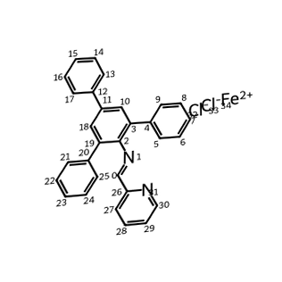 C(=Nc1c(-c2ccccc2)cc(-c2ccccc2)cc1-c1ccccc1)c1ccccn1.[Cl-].[Cl-].[Fe+2]